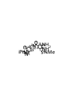 CNC(=S)Nc1ccc(C(=O)N2CCC3(CC2)CC(=O)c2c(cnn2C(C)C)C3)cc1N